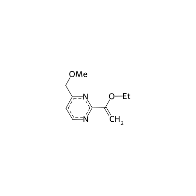 C=C(OCC)c1nccc(COC)n1